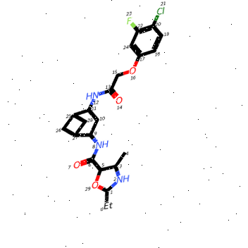 CCC1NC(C)C(C(=O)NC2CC(NC(=O)COc3ccc(Cl)c(F)c3)C3CC2C3)O1